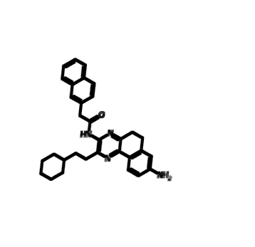 Nc1ccc2c(c1)CCc1nc(NC(=O)Cc3ccc4ccccc4c3)c(CCC3CCCCC3)nc1-2